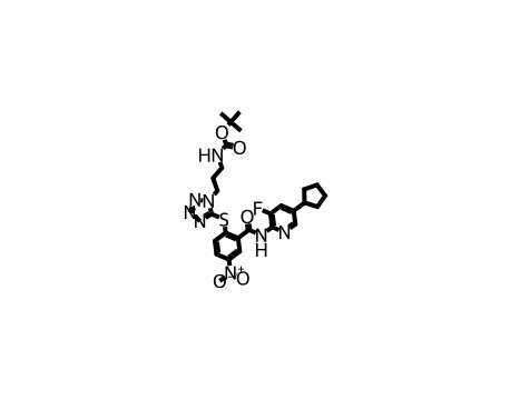 CC(C)(C)OC(=O)NCCCn1nnnc1Sc1ccc([N+](=O)[O-])cc1C(=O)Nc1ncc(C2CCCC2)cc1F